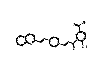 O=C(O)c1ccc(O)c(C(=O)/C=C/c2ccc(/C=C/c3ccc4ccccc4n3)cc2)c1